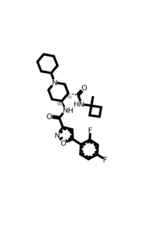 CC1(NC(=O)[C@H]2CN(C3CCCCC3)CC[C@@H]2NC(=O)c2cc(-c3ccc(F)cc3F)on2)CCC1